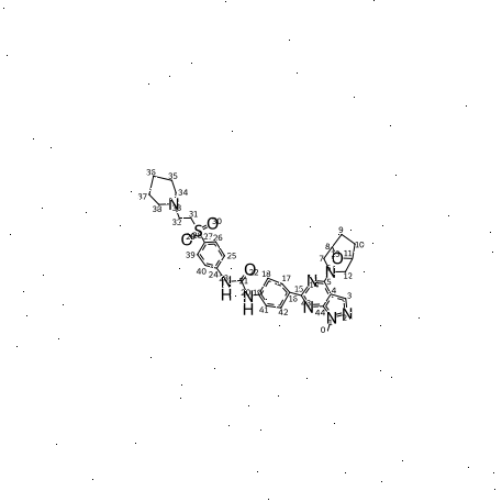 Cn1ncc2c(N3CC4CCC(C3)O4)nc(-c3ccc(NC(=O)Nc4ccc(S(=O)(=O)CCN5CCCCC5)cc4)cc3)nc21